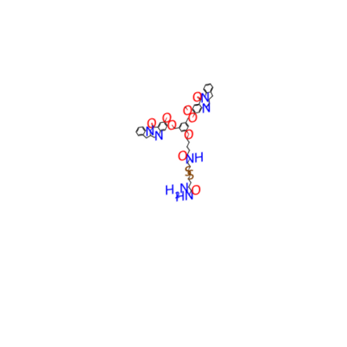 CNC(=O)C(N)CCSSCCNC(=O)CCCCOc1cc(COc2cc3c(cc2OC)C(=O)N2c4ccccc4CC2C=N3)cc(COc2cc3c(cc2OC)C(=O)N2c4ccccc4CC2C=N3)c1